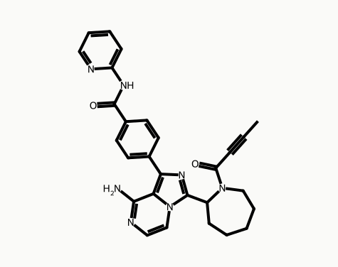 CC#CC(=O)N1CCCCCC1c1nc(-c2ccc(C(=O)Nc3ccccn3)cc2)c2c(N)nccn12